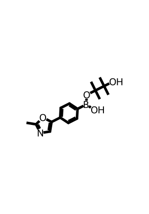 Cc1ncc(-c2ccc(B(O)OC(C)(C)C(C)(C)O)cc2)o1